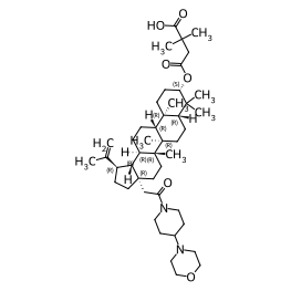 C=C(C)[C@@H]1CC[C@]2(CC(=O)N3CCC(N4CCOCC4)CC3)CC[C@]3(C)[C@H](CC[C@@H]4[C@@]5(C)CC[C@H](OC(=O)CC(C)(C)C(=O)O)C(C)(C)[C@@H]5CC[C@]43C)[C@@H]12